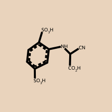 N#CC(Nc1cc(S(=O)(=O)O)ccc1S(=O)(=O)O)C(=O)O